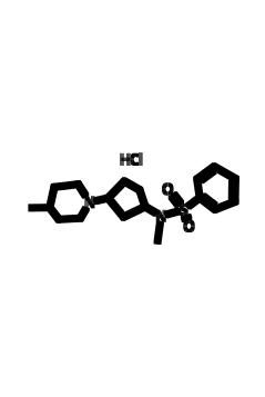 CC1CCN(C2CCC(N(C)S(=O)(=O)c3ccccc3)C2)CC1.Cl